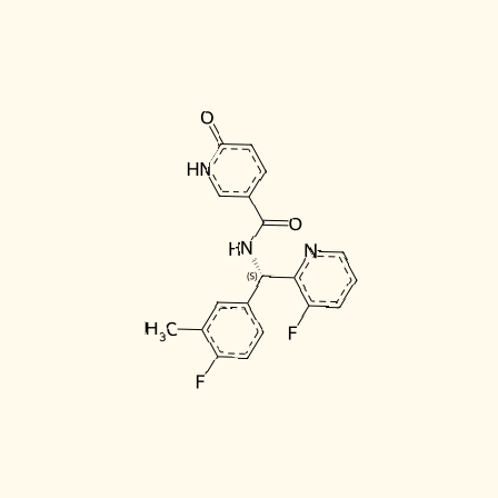 Cc1cc([C@H](NC(=O)c2ccc(=O)[nH]c2)c2ncccc2F)ccc1F